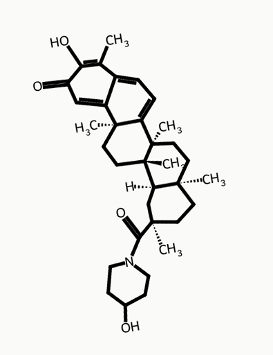 CC1=C(O)C(=O)C=C2C1=CC=C1[C@@]2(C)CC[C@@]2(C)[C@@H]3C[C@](C)(C(=O)N4CCC(O)CC4)CC[C@]3(C)CC[C@]12C